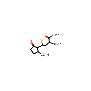 COC(=O)C(CC(S)C1C(=O)CCC1C(=O)O)NC(C)=O